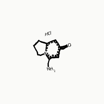 Cl.Nc1cc(=O)cc2n1CCC2